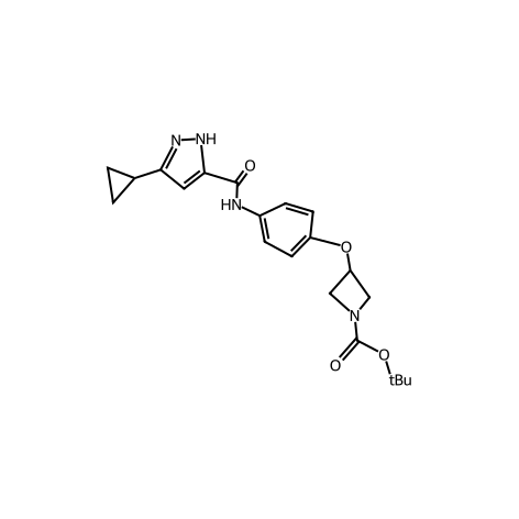 CC(C)(C)OC(=O)N1CC(Oc2ccc(NC(=O)c3cc(C4CC4)n[nH]3)cc2)C1